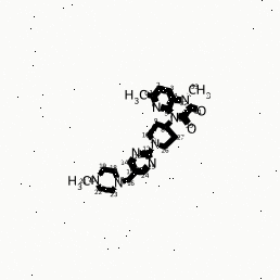 Cc1ccc2c(n1)n(C1CCN(c3ncc(CN4CCN(C)CC4)cn3)CC1)c(=O)c(=O)n2C